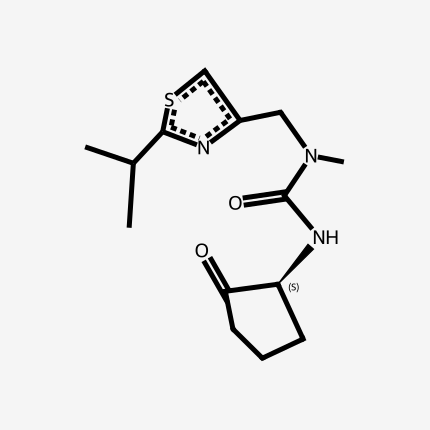 CC(C)c1nc(CN(C)C(=O)N[C@H]2CCCC2=O)cs1